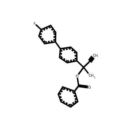 C#CC(C)(OC(=O)c1ccccc1)c1ccc(-c2ccc(F)cc2)cc1